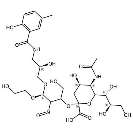 CC(=O)N[C@H]1C([C@H](O)[C@H](O)CO)O[C@@](OC(CO)C(N=O)[C@@H](OCCO)OC[C@H](O)CNC(=O)c2cc(C)ccc2O)(C(=O)O)C[C@H]1O